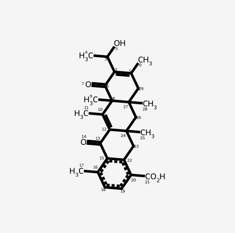 CC1=C(C(C)O)C(=O)C2(C)C(C)=C3C(=O)c4c(C)ccc(C(=O)O)c4CC3(C)CC2(C)C1